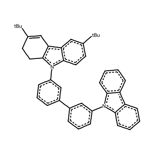 CC(C)(C)C1=Cc2c(n(-c3cccc(-c4cccc(-n5c6ccccc6c6ccccc65)c4)c3)c3ccc(C(C)(C)C)cc23)CC1